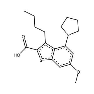 CCCCc1c(C(=O)O)sc2cc(OC)cc(N3CCCC3)c12